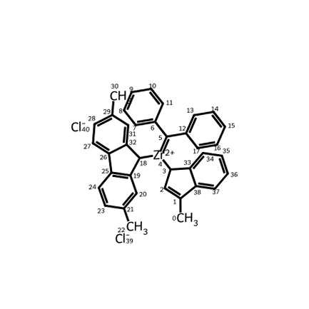 CC1=C[CH]([Zr+2](=[C](c2ccccc2)c2ccccc2)[CH]2c3cc(C)ccc3-c3ccc(C)cc32)c2ccccc21.[Cl-].[Cl-]